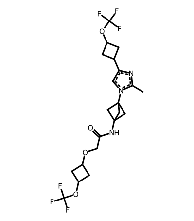 Cc1nc(C2CC(OC(F)(F)F)C2)cn1C12CC(NC(=O)COC3CC(OC(F)(F)F)C3)(C1)C2